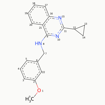 COc1cccc(CNc2nc(C3CC3)nc3ccccc23)c1